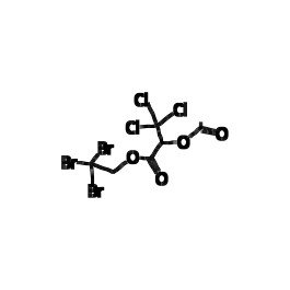 O=[C]OC(C(=O)OCC(Br)(Br)Br)C(Cl)(Cl)Cl